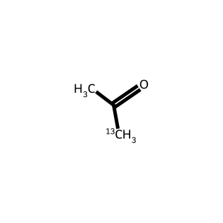 CC([13CH3])=O